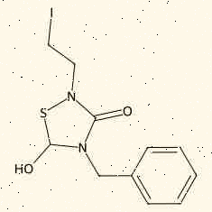 O=C1N(CCI)SC(O)N1Cc1ccccc1